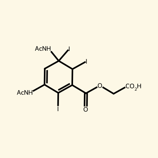 CC(=O)NC1=CC(I)(NC(C)=O)C(I)C(C(=O)OCC(=O)O)=C1I